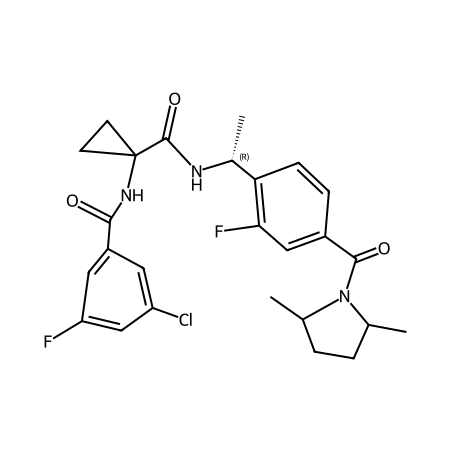 CC1CCC(C)N1C(=O)c1ccc([C@@H](C)NC(=O)C2(NC(=O)c3cc(F)cc(Cl)c3)CC2)c(F)c1